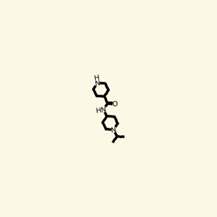 CC(C)N1CCC(NC(=O)C2CCNCC2)CC1